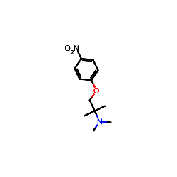 CN(C)C(C)(C)COc1ccc([N+](=O)[O-])cc1